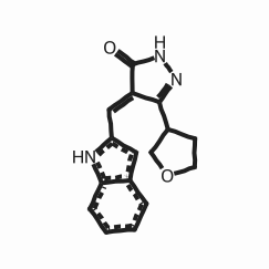 O=C1NN=C(C2CCOC2)/C1=C\c1cc2ccccc2[nH]1